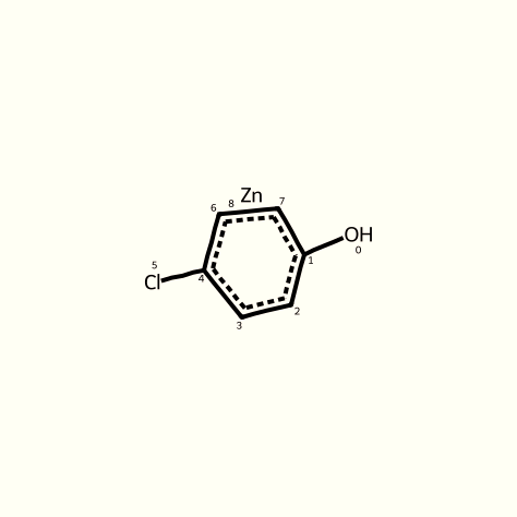 Oc1ccc(Cl)cc1.[Zn]